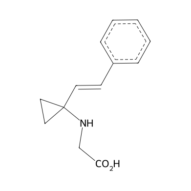 O=C(O)CNC1(C=Cc2ccccc2)CC1